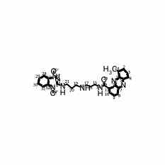 Cc1cccc2nc3cccc(C(=O)NCCCNCCCNc4n[n+]([O-])c5ccccc5[n+]4[O-])c3nc12